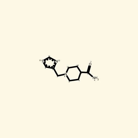 NC(=O)C1CCN(Cc2cscn2)CC1